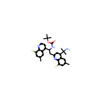 Cc1cc(F)c2nccc(C(Cc3cc(C(C)(C)N)c4cc(C)cc(F)c4n3)NC(=O)OC(C)(C)C)c2c1